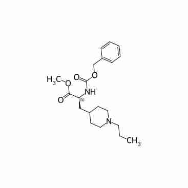 CCCN1CCC(C[C@H](NC(=O)OCc2ccccc2)C(=O)OC)CC1